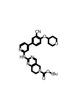 CC(C)(C)OC(=O)N1CCc2nc(Nc3cc(-c4ccc(OC5CCOCC5)c(C#N)c4)ccn3)ncc2C1